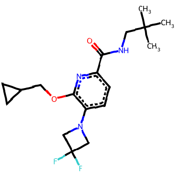 CC(C)(C)CNC(=O)c1ccc(N2CC(F)(F)C2)c(OCC2CC2)n1